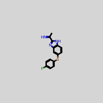 CC(=N)c1nc2cc(Sc3ccc(F)cc3)ccc2[nH]1